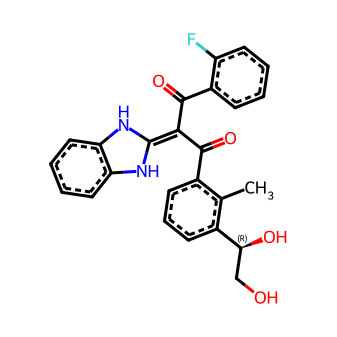 Cc1c(C(=O)C(C(=O)c2ccccc2F)=C2Nc3ccccc3N2)cccc1[C@@H](O)CO